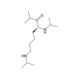 CC(C)NCCCC[C@H](NC(C)C)C(=O)C(C)C